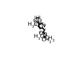 CC(C)(C)OC(=O)Cc1ccc(C2(C)OCCO2)cn1